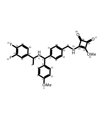 COc1ccc(C(NC(C)c2ccc(F)c(F)c2)c2ccc(CNc3c(OC)c(=O)c3=O)cc2)cc1